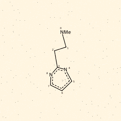 CNCCc1ncccn1